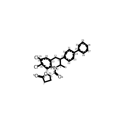 CC(NC(=O)[C@@H]1CCC(=O)O1)C(Cc1ccc(Cl)c(Cl)c1)c1ccc(-c2ccccc2)cc1